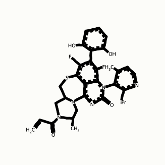 C=CC(=O)N1CC2CSc3c(F)c(-c4c(O)cccc4O)c(F)c4c3c(nc(=O)n4-c3c(C)ccnc3C(C)C)N2CC1C